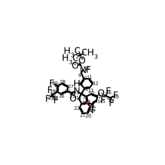 CC(C)(C)OC(=O)N(F)Cc1cccc(C(Cc2ccccc2)(NC(=O)c2ccc(F)c(C(F)(F)F)c2)c2cc(F)cc(OC(F)(F)C(F)F)c2)c1